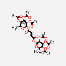 CCC(=O)O[C@H]1[C@H](OC(=O)CC)[C@@H](OC(=O)/C=C/C(=O)O[C@H]2O[C@@H](C)[C@@H](OC(=O)CC)[C@@H](OC(=O)CC)[C@@H]2OC(=O)CC)O[C@@H](C)[C@H]1OC(=O)CC